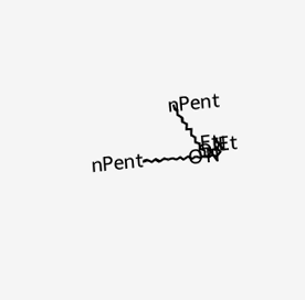 CCCCCC=CCC=CCCCCCCCCOCC(CN1CCC(N(CC)CC)C1)OCCCCCCCCC=CCC=CCCCCC